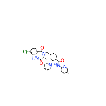 Cc1ccc(NC(=O)C2CCC(CN3C(=O)c4ccc(Cl)cc4NC(=O)C3Cc3ccccn3)CC2)nc1